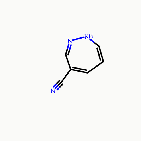 N#CC1=CC=CNN=C1